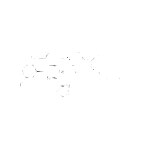 COCC12CC(N3C[C@@H]4CN(CC5=C(C(=O)O)[C@H](c6cccc(F)c6C)N=C(c6nccs6)N5)CCN4C3=O)(C1)C2